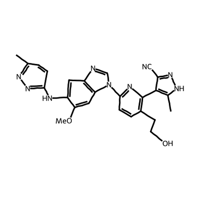 COc1cc2c(cc1Nc1ccc(C)nn1)ncn2-c1ccc(CCO)c(-c2c(C#N)n[nH]c2C)n1